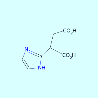 O=C(O)CC(C(=O)O)c1ncc[nH]1